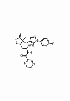 C=C1CC[C@H](CC(CCC)NC(=O)C2=NCCN=C2)[C@@]1(C)Cc1cnn(-c2ccc(F)cc2)c1C